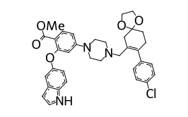 COC(=O)c1ccc(N2CCN(CC3=C(c4ccc(Cl)cc4)CCC4(C3)OCCO4)CC2)cc1Oc1ccc2[nH]ccc2c1